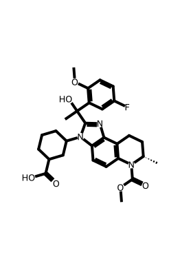 COC(=O)N1c2ccc3c(nc(C(C)(O)c4cc(F)ccc4OC)n3C3CCCC(C(=O)O)C3)c2CC[C@@H]1C